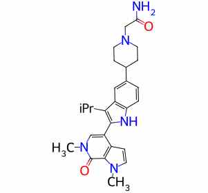 CC(C)c1c(-c2cn(C)c(=O)c3c2ccn3C)[nH]c2ccc(C3CCN(CC(N)=O)CC3)cc12